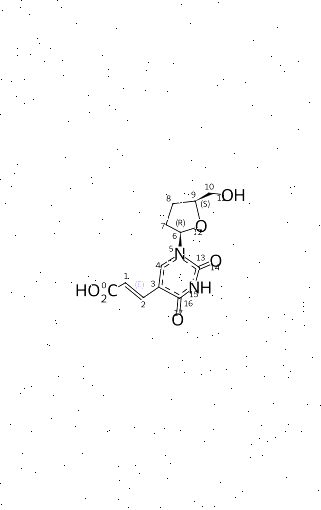 O=C(O)/C=C/c1cn([C@H]2CC[C@@H](CO)O2)c(=O)[nH]c1=O